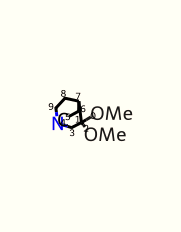 COC1(OC)CN2CCC1CC2